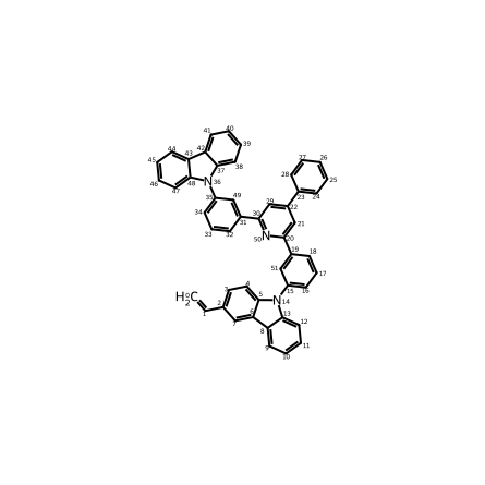 C=Cc1ccc2c(c1)c1ccccc1n2-c1cccc(-c2cc(-c3ccccc3)cc(-c3cccc(-n4c5ccccc5c5ccccc54)c3)n2)c1